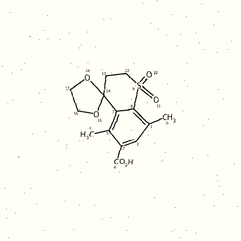 Cc1cc(C(=O)O)c(C)c2c1S(=O)(=O)CCC21OCCO1